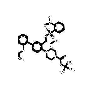 CCOc1ccccc1-c1ccc(N2CCN(C(=O)OC(C)(C)C)C[C@H]2CC)c(CNS(=O)(=O)c2ccccc2[N+](=O)[O-])c1